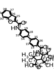 CC(C)(C)C(C(=O)O)C(C(NC(=O)c1ccc(-c2ccc(NC(=O)c3cc4ccccc4o3)cc2)cc1)C(=O)O)C(C)(C)C